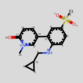 CCS(=O)(=O)c1ccc(NCC2CC2)c(-c2ccc(=O)n(C)c2)c1